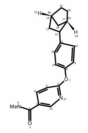 CNC(=O)c1ccc(Oc2ccc(C3C[C@@H]4CC[C@H]3C4)cc2)nc1